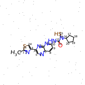 Cc1nc(-c2cnc3ccc(NC(=O)N(S)C4CCCC4)nc3n2)cs1